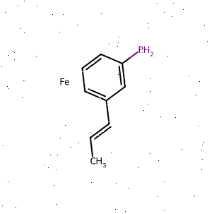 CC=Cc1cccc(P)c1.[Fe]